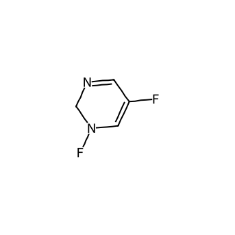 FC1=CN(F)CN=C1